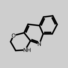 c1ccc2nc3c(cc2c1)OCCN3